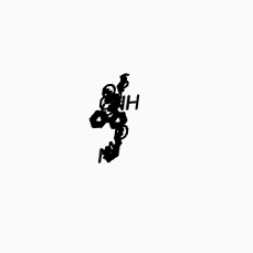 COC(=O)[C@H](CCSC)NC(=O)c1ccc(OCCn2ccnc2)cc1-c1ccccc1